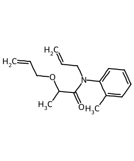 C=CCOC(C)C(=O)N(CC=C)c1ccccc1C